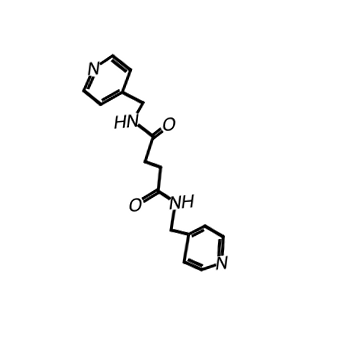 O=C(CCC(=O)NCc1ccncc1)NCc1ccncc1